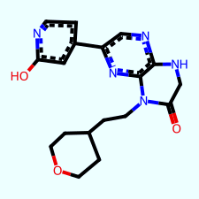 O=C1CNc2ncc(-c3ccnc(O)c3)nc2N1CCC1CCOCC1